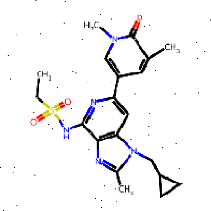 CCS(=O)(=O)Nc1nc(-c2cc(C)c(=O)n(C)c2)cc2c1nc(C)n2CC1CC1